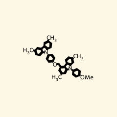 COc1ccc(-n2c3cc(C)ccc3c3c(COc4ccc(-n5c6ccc(C)cc6c6cc(C)ccc65)cc4)cc(C)cc32)cc1